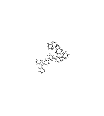 c1ccc(-n2c3ccccc3c3cc(-c4cccc(-c5ccc6oc7cccc(-c8cnc9c(n8)sc8ccc%10ccccc%10c89)c7c6c5)c4)ccc32)cc1